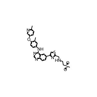 Cc1ccc(Oc2ccc(Nc3ncnc4ccc(-c5csc(CNCCS(C)(=O)=O)n5)cc34)cc2C)cn1